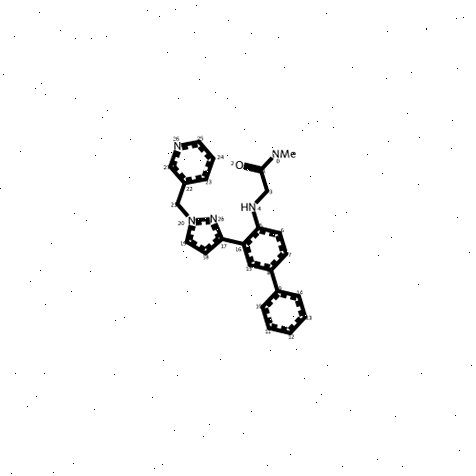 CNC(=O)CNc1ccc(-c2ccccc2)cc1-c1ccn(Cc2cccnc2)n1